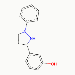 Oc1cccc(C2CCN(c3ccccc3)N2)c1